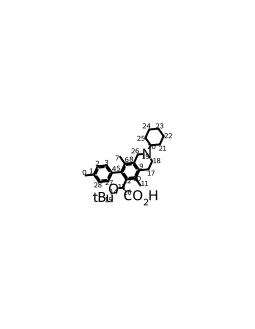 Cc1ccc(-c2c(C)c3c(c(C)c2[C@H](OC(C)(C)C)C(=O)O)CCN(C2CCCCC2)C3)cc1